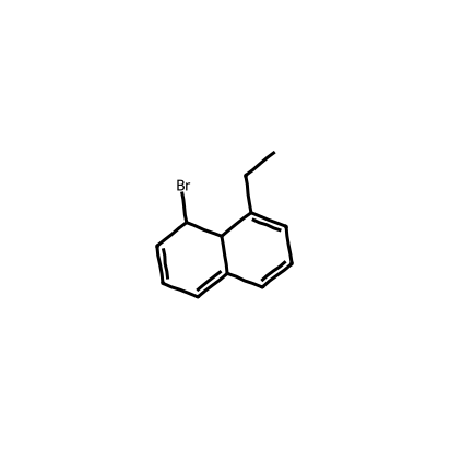 CCC1=CC=CC2=CC=CC(Br)C21